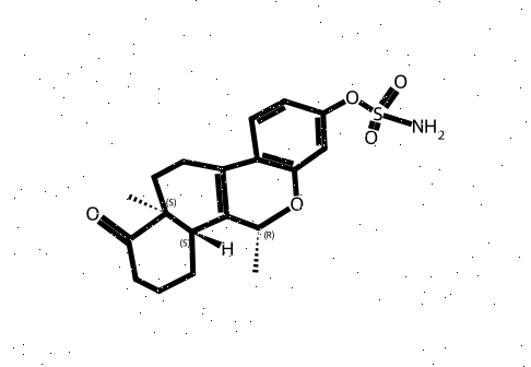 C[C@H]1Oc2cc(OS(N)(=O)=O)ccc2C2=C1[C@@H]1CCCC(=O)[C@@]1(C)CC2